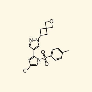 Cc1ccc(S(=O)(=O)n2cc(Cl)cc2-c2cnn(C3CC4(COC4)C3)c2)cc1